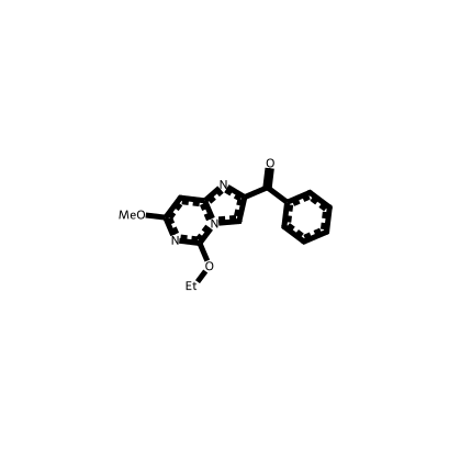 CCOc1nc(OC)cc2nc(C(=O)c3ccccc3)cn12